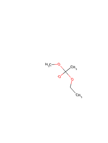 CCOC(C)([O])OC